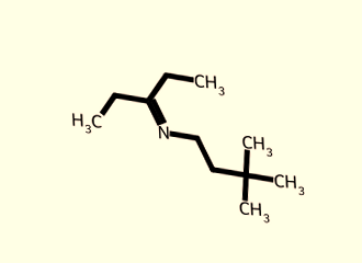 CCC(CC)=NCCC(C)(C)C